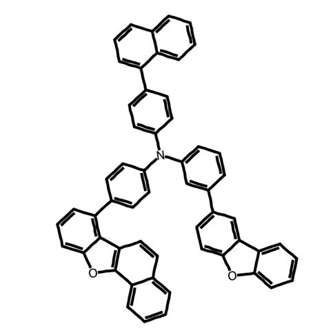 c1cc(-c2ccc3oc4ccccc4c3c2)cc(N(c2ccc(-c3cccc4ccccc34)cc2)c2ccc(-c3cccc4oc5c6ccccc6ccc5c34)cc2)c1